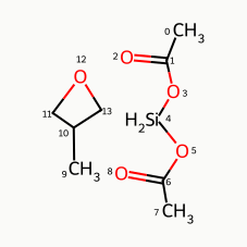 CC(=O)O[SiH2]OC(C)=O.CC1COC1